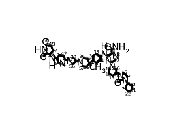 CC1(c2ccc(Nc3nc(N4CCCC(N5CCN(C6CCCC6)C5=O)C4)cnc3C(N)=O)cc2)CCN(C2CN(c3ccc(NC4CCC(=O)NC4=O)cn3)C2)CC1